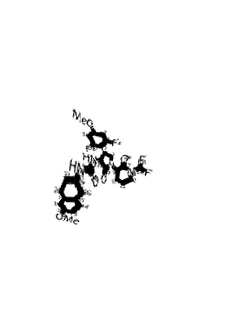 COc1cc(F)c([C@@H]2CN(c3cccn(C(F)F)c3=O)C(=O)[C@H]2NC(=O)NC2CCc3cc(OC)ccc3C2)c(F)c1